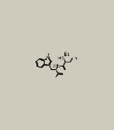 C=C(C)C(Cc1cn(C)c2ccccc12)NC(=C)C(CC(C)C)NCC